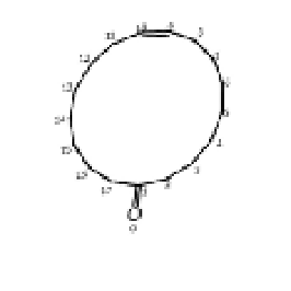 O=C1CCCCCCCC=CCCCCCCC1